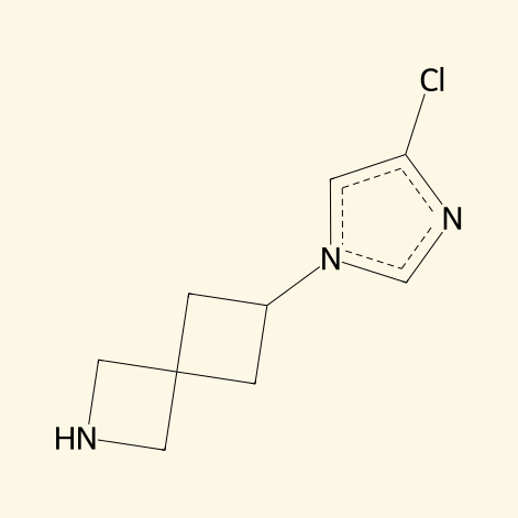 Clc1cn(C2CC3(CNC3)C2)cn1